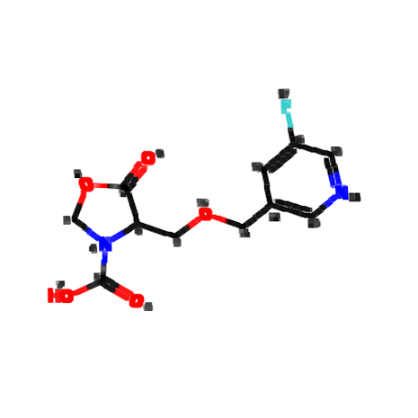 O=C1OCN(C(=O)O)C1COCc1cncc(F)c1